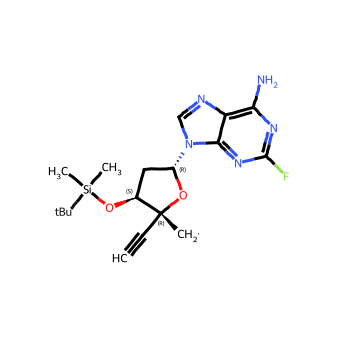 C#C[C@@]1([CH2])O[C@@H](n2cnc3c(N)nc(F)nc32)C[C@@H]1O[Si](C)(C)C(C)(C)C